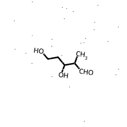 CC(C=O)C(O)CCO